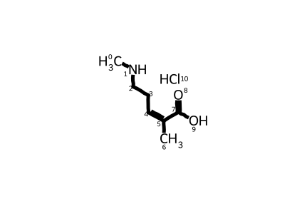 CNCCC=C(C)C(=O)O.Cl